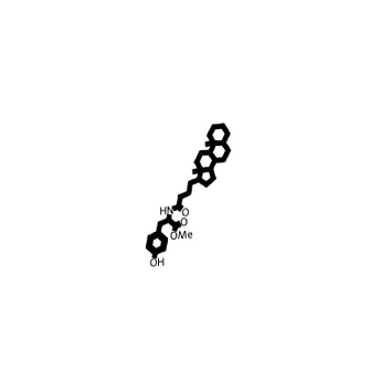 COC(=O)C(Cc1ccc(O)cc1)NC(=O)CCCC1CCC2C3CCC4CCCCC4(C)C3CCC12C